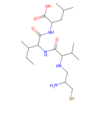 CCC(C)C(NC(=O)C(NCC(N)CS)C(C)C)C(=O)NC(CC(C)C)C(=O)O